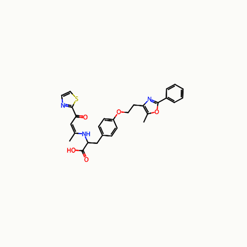 C/C(=C/C(=O)c1nccs1)NC(Cc1ccc(OCCc2nc(-c3ccccc3)oc2C)cc1)C(=O)O